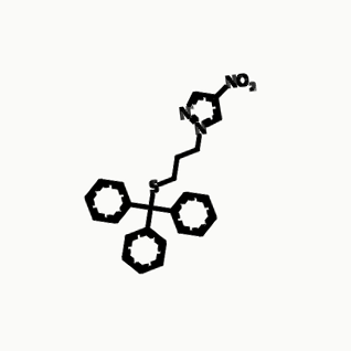 O=[N+]([O-])c1cnn(CCCSC(c2ccccc2)(c2ccccc2)c2ccccc2)c1